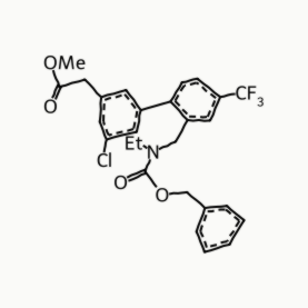 CCN(Cc1cc(C(F)(F)F)ccc1-c1cc(Cl)cc(CC(=O)OC)c1)C(=O)OCc1ccccc1